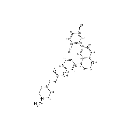 CN1CCC(CCC(=O)Nc2cc(N3CCOc4cnc(-c5cc(Cl)ccc5F)cc43)ccn2)CC1